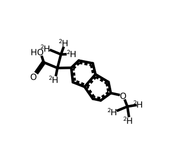 [2H]C([2H])([2H])Oc1ccc2cc(C([2H])(C(=O)O)C([2H])([2H])[2H])ccc2c1